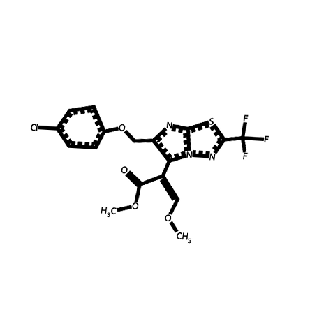 COC=C(C(=O)OC)c1c(COc2ccc(Cl)cc2)nc2sc(C(F)(F)F)nn12